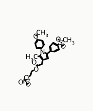 COc1ccc(-n2c(-c3ccc(S(C)(=O)=O)cc3)cc(CC(=O)OCCO[N+](=O)[O-])c2C)cc1